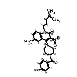 Cc1ccc2c(c1)c(N1CCN(C(=O)c3ccc(F)cc3)CC1)c([N+](=O)[O-])c(=O)n2CCCN(C)C